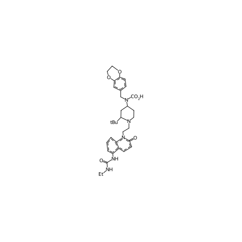 CCNC(=O)Nc1cccc2c1ccc(=O)n2CCN1CCC(N(Cc2ccc3c(c2)OCCO3)C(=O)O)CC1C(C)(C)C